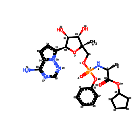 CC[C@H](NP(=O)(OC[C@@]1(C)O[C@@H](c2ccc3c(N)ncnn23)[C@H](O)[C@@H]1O)Oc1ccccc1)C(=O)OC1CCCC1